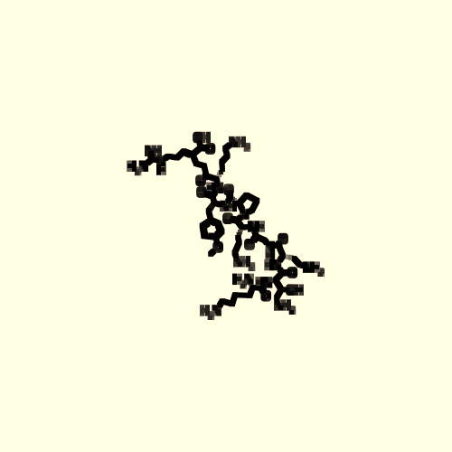 COc1ccc(C[C@H](NC(=O)[C@@H]2CCCN2C(=O)[C@@H](CCCN)NC(=O)CNC(=O)[C@H](CCN)NC(=O)[C@@H](NC(=O)[C@@H](N)CCCCN)[C@@H](O)CN)C(=O)N[C@@H](CCCCN)C(=O)CC/C(=C\CCNC(=N)N)C(=O)O)cc1